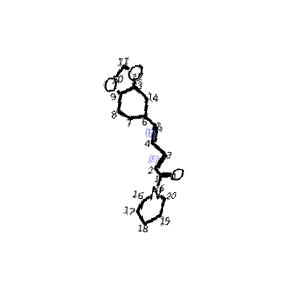 O=C(/C=C/C=C/C1CCC2OCOC2C1)N1CCCCC1